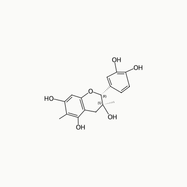 Cc1c(O)cc2c(c1O)C[C@](C)(O)[C@@H](c1ccc(O)c(O)c1)O2